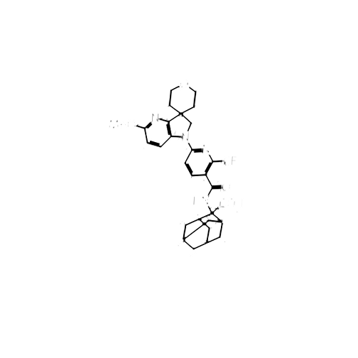 COc1ccc2c(n1)C1(CCOCC1)CN2c1ccc(C(=O)NC2(C(=O)O)C3CC4CC(C3)CC2C4)c(C(F)(F)F)n1